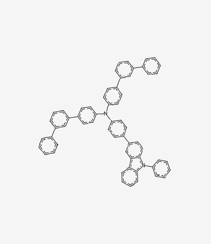 c1ccc(-c2cccc(-c3ccc(N(c4ccc(-c5cccc(-c6ccccc6)c5)cc4)c4ccc(-c5ccc6c(c5)c5ccccc5n6-c5ccccc5)cc4)cc3)c2)cc1